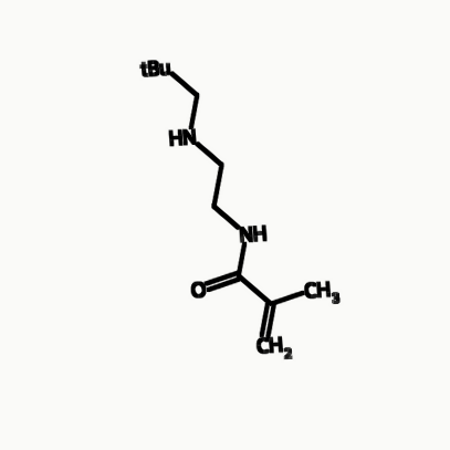 C=C(C)C(=O)NCCNCC(C)(C)C